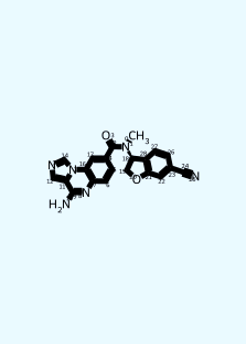 CN(C(=O)c1ccc2nc(N)c3cncn3c2c1)[C@@H]1COc2cc(C#N)ccc21